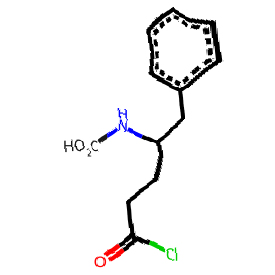 O=C(Cl)CCC(Cc1ccccc1)NC(=O)O